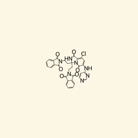 O=C1NC(CCN2C(=O)c3ccccc3C2=O)(CCN2C(=O)c3ccccc3C2=O)n2c1c(Cl)cc(Nc1ccncn1)c2=O